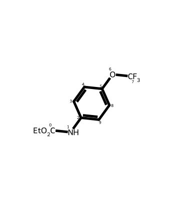 C[CH]OC(=O)Nc1ccc(OC(F)(F)F)cc1